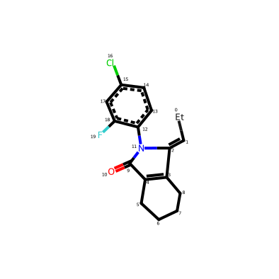 CCC=C1C2=C(CCCC2)C(=O)N1c1ccc(Cl)cc1F